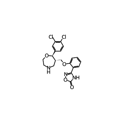 O=c1[nH]c(-c2ccccc2OC[C@@H]2CNCCO[C@H]2c2ccc(Cl)c(Cl)c2)no1